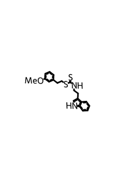 COc1cccc(CCSC(=S)NCCc2c[nH]c3ccccc23)c1